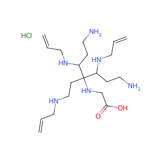 C=CCNCCC(NCC(=O)O)(C(CCN)NCC=C)C(CCN)NCC=C.Cl